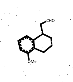 COc1cccc2c1CCCC2CC=O